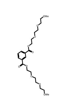 COCCOCCOCCOC(=O)c1cccc(C(=O)OCCOCCOCCOC)c1